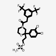 CS(=O)(=O)OCCC1(c2ccc(Cl)c(Cl)c2)CN(C(=O)Cc2cc(C(F)(F)F)cc(C(F)(F)F)c2)CCO1